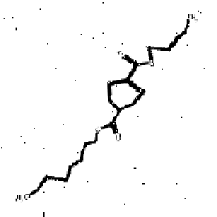 CCCCCCCCOC(=O)C1CCC(C(=O)OCCCCC)CC1